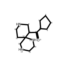 O=C(C1CCCC1)C1CNCCC12CNCCN2